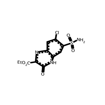 CCOC(=O)c1nc2cc(Cl)c(S(N)(=O)=O)cc2[nH]c1=O